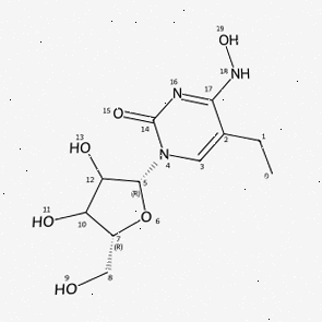 CCc1cn([C@@H]2O[C@H](CO)C(O)C2O)c(=O)nc1NO